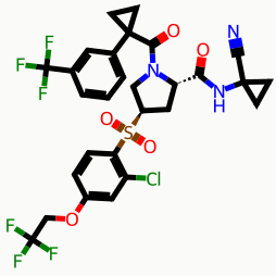 N#CC1(NC(=O)[C@@H]2C[C@@H](S(=O)(=O)c3ccc(OCC(F)(F)F)cc3Cl)CN2C(=O)C2(c3cccc(C(F)(F)F)c3)CC2)CC1